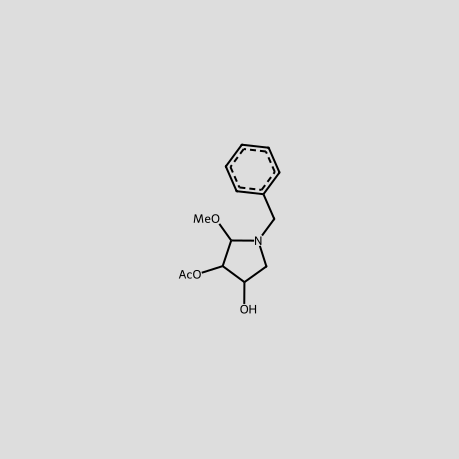 COC1C(OC(C)=O)C(O)CN1Cc1ccccc1